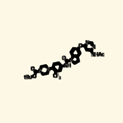 CC(=O)Nc1cc(Oc2ccc3c(c2)CCN3C(=O)Nc2ccc(N3CCN(C(=O)OC(C)(C)C)CC3)c(C(F)(F)F)c2)ncn1